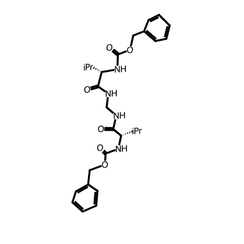 CC(C)[C@H](NC(=O)OCc1ccccc1)C(=O)NCNC(=O)[C@@H](NC(=O)OCc1ccccc1)C(C)C